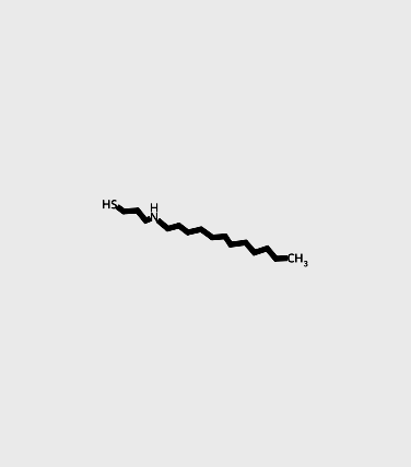 CCCCCCCCCCCCNCCCS